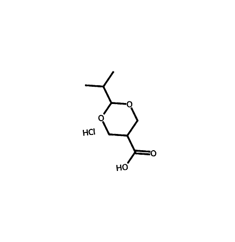 CC(C)C1OCC(C(=O)O)CO1.Cl